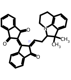 CC1(C)c2cccc3c2N(CCC3)C1C/C=C1\C(=O)c2ccccc2C1=C1C(=O)c2ccccc2C1=O